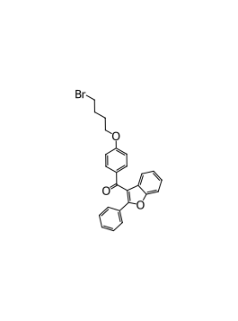 O=C(c1ccc(OCCCCBr)cc1)c1c(-c2ccccc2)oc2ccccc12